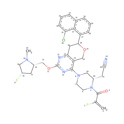 C=C(F)C(=O)N1CCN(c2nc(OC[C@@H]3C[C@H](F)CN3C)nc3c2COC(c2cccc4cccc(Cl)c24)C3)C[C@@H]1CC#N